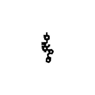 Cc1ccc(CNc2ncnc(N3CCCC3CC3CC4CCC3C4)c2F)cn1